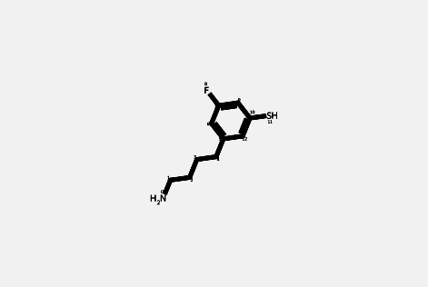 NCCCCc1cc(F)cc(S)c1